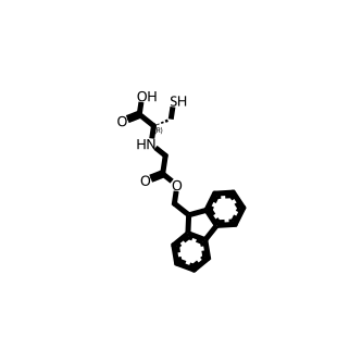 O=C(CN[C@@H](CS)C(=O)O)OCC1c2ccccc2-c2ccccc21